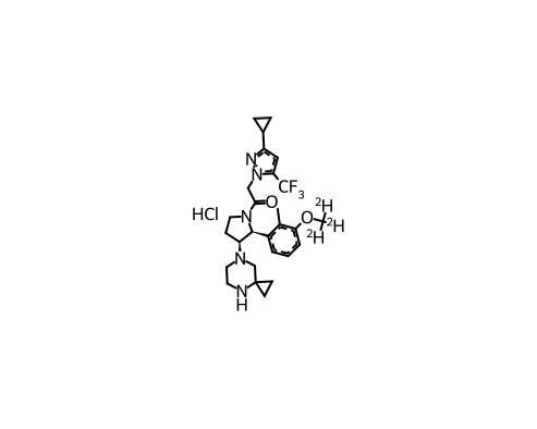 Cl.[2H]C([2H])([2H])Oc1cccc([C@H]2[C@@H](N3CCNC4(CC4)C3)CCN2C(=O)Cn2nc(C3CC3)cc2C(F)(F)F)c1C